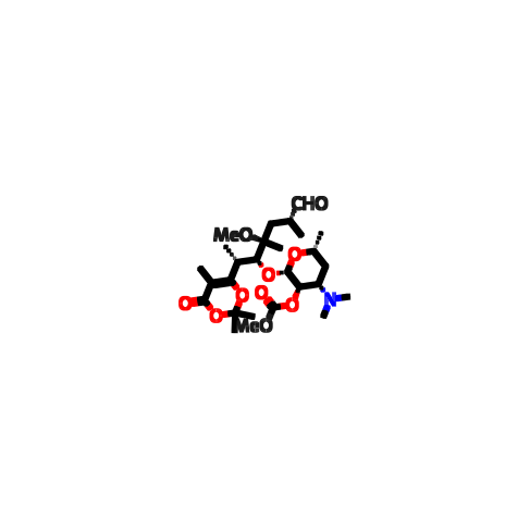 COC(=O)O[C@H]1[C@H](O[C@H]([C@@H](C)C2=C(C)C(=O)OC(C)(C)O2)[C@@](C)(C[C@@H](C)C=O)OC)O[C@H](C)C[C@@H]1N(C)C